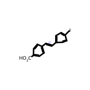 O=C(O)c1ccc(/C=C/c2ccc(I)cc2)cc1